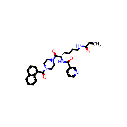 C=CC(=O)NCCCC[C@H](NC(=O)c1cccnc1)C(=O)N1CCN(C(=O)c2cccc3ccccc23)CC1